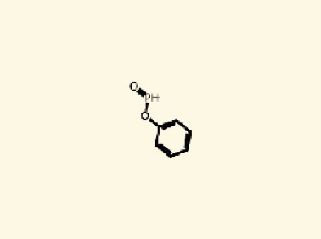 O=[PH]Oc1ccccc1